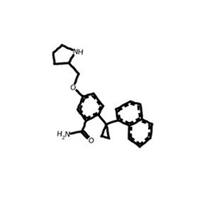 NC(=O)c1cc(OCC2CCCN2)ccc1C1(c2cccc3ccccc23)CC1